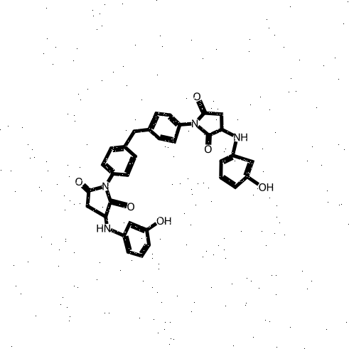 O=C1CC(Nc2cccc(O)c2)C(=O)N1c1ccc(Cc2ccc(N3C(=O)CC(Nc4cccc(O)c4)C3=O)cc2)cc1